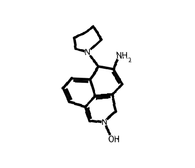 NC1=CC2=c3c(cccc3=CN(O)C2)C1N1CCCC1